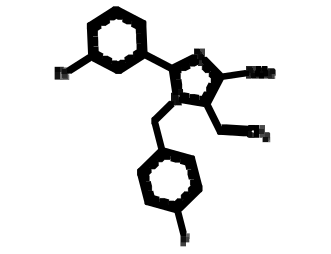 C=Cc1c(NC)nc(-c2cccc(CC)c2)n1Cc1ccc(F)cc1